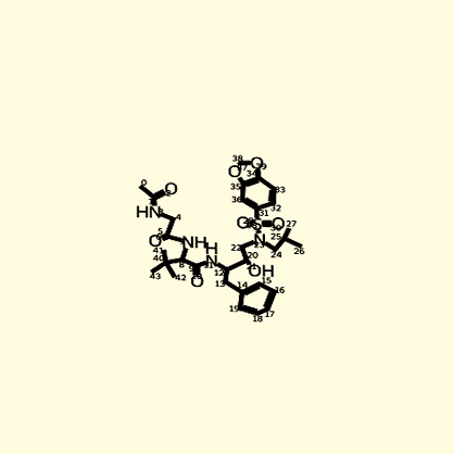 CC(=O)NCC(=O)NC(C(=O)NC(Cc1ccccc1)C(O)CN(CC(C)C)S(=O)(=O)c1ccc2c(c1)OCO2)C(C)(C)C